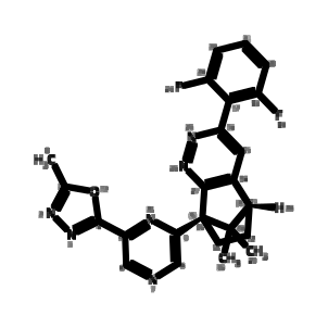 Cc1nnc(-c2cncc([C@@]34CC[C@@H](c5cc(-c6c(F)cccc6F)nnc53)C4(C)C)n2)o1